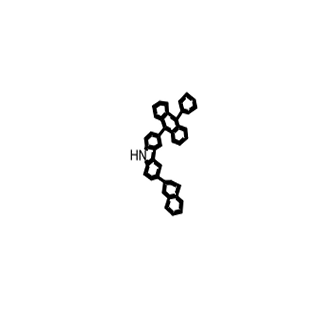 c1ccc(-c2c3ccccc3c(-c3ccc4[nH]c5ccc(-c6ccc7ccccc7c6)cc5c4c3)c3ccccc23)cc1